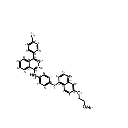 COCCOc1ccc2c(Sc3ccc(Nc4nnc(-c5ccc(Cl)cc5)c5ccccc45)cc3)ccnc2c1